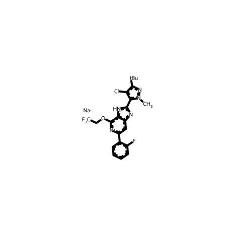 Cn1nc(C(C)(C)C)c(Cl)c1-c1nc2cc(-c3ccccc3F)nc(OCC(F)(F)F)c2[nH]1.[Na]